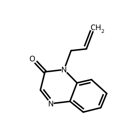 C=CCn1c(=O)cnc2ccccc21